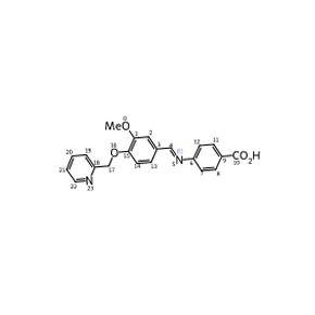 COc1cc(/C=N/c2ccc(C(=O)O)cc2)ccc1OCc1ccccn1